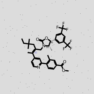 CCC(C)(C)C/C(CN1C(=O)O[C@H](c2cc(C(F)(F)F)cc(C(F)(F)F)c2)[C@@H]1C)=C(\C)c1ccnc(-c2ccc(C(=O)OC)cc2C)c1